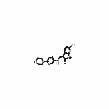 O=C1Nc2nc(Cl)ccc2/C1=C/Nc1ccc(N2CCOCC2)nc1